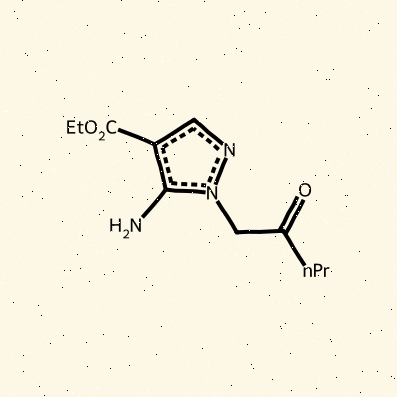 CCCC(=O)Cn1ncc(C(=O)OCC)c1N